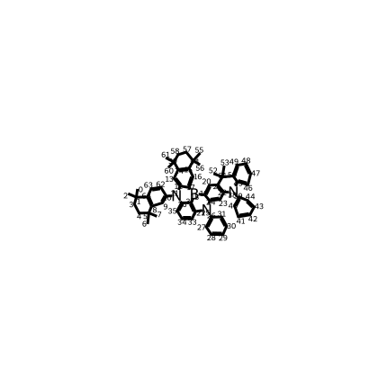 CC1(C)CCC(C)(C)c2cc(N3c4cc5c(cc4B4c6cc7c(cc6N(c6ccccc6)c6cccc3c64)N(c3ccccc3)c3ccccc3C7(C)C)C(C)(C)CCC5(C)C)ccc21